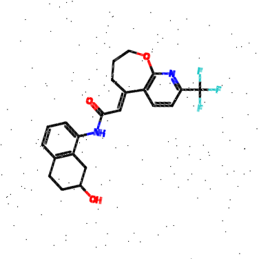 O=C(C=C1CCCOc2nc(C(F)(F)F)ccc21)Nc1cccc2c1CC(O)CC2